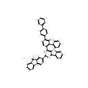 CC1(C)c2ccccc2-c2ccc(-c3nc(-c4ccc(-c5ccc(-c6ccccc6)cc5)c5oc6ccccc6c45)c4sc5ccccc5c4n3)cc21